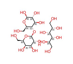 OC[C@@H](O)[C@@H](O)[C@H](O)[C@@H](O)CO.OC[C@H]1O[C@@H](O[C@H]2[C@H](O)[C@@H](O)[C@H](O)O[C@@H]2CO)[C@H](O)[C@@H](O)[C@H]1O